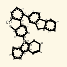 CCc1cccc(-c2ccc3c(c2)Cc2ccccc2-3)c1-c1ccc(-n2c3c(c4ccccc42)C=CCC3)cc1C